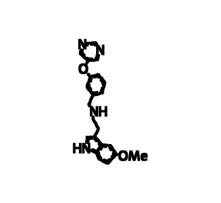 COc1ccc2[nH]cc(CCNCc3cccc(Oc4cncnc4)c3)c2c1